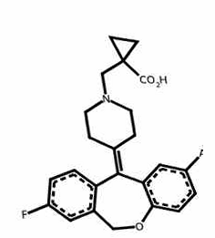 CC(=O)c1ccc2c(c1)C(=C1CCN(CC3(C(=O)O)CC3)CC1)c1ccc(F)cc1CO2